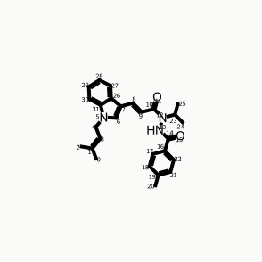 CC(C)=CCn1cc(C=CC(=O)N(NC(=O)c2ccc(C)cc2)C(C)C)c2ccccc21